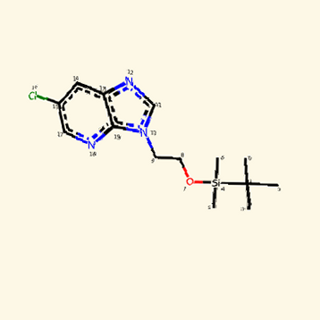 CC(C)(C)[Si](C)(C)OCCn1cnc2cc(Cl)cnc21